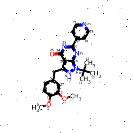 COc1ccc(Cc2[nH]n(C(C)(C)C)c3nc(-c4ccncc4)nc(=O)c2-3)cc1OC